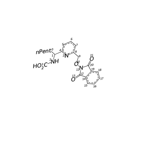 CCCCCC(NC(=O)O)c1cccc(CON2C(=O)c3ccccc3C2=O)n1